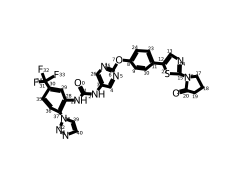 O=C(Nc1cnc(Oc2ccc(-c3cnc(N4CCCC4=O)s3)cc2)nc1)Nc1cc(C(F)(F)F)ccc1-n1ccnn1